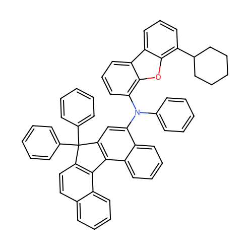 c1ccc(N(c2cc3c(c4ccccc24)-c2c(ccc4ccccc24)C3(c2ccccc2)c2ccccc2)c2cccc3c2oc2c(C4CCCCC4)cccc23)cc1